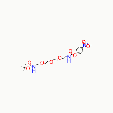 CC(C)(C)OC(=O)NCCOCCOCCOCCNC(=O)Oc1ccc([N+](=O)[O-])cc1